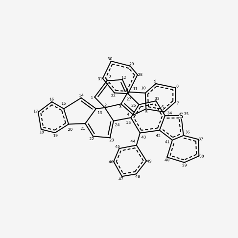 C1=CC2(C3=Cc4ccccc4C3=C1)C1=Cc3ccccc3C1=CC=C2c1c(-c2ccccc2)cc2sc3ccccc3c2c1-c1ccccc1